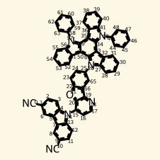 N#Cc1ccc2c(c1)c1cc(C#N)ccc1n2-c1ccnc2c1oc1ccc(-n3c4ccccc4c4c5c(c6ccccc6n5-c5ccccc5)c5c(c6ccccc6n5-c5ccccc5)c43)cc12